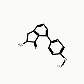 COc1ccc(-c2cccc3c2C(=O)C(C)C3)cc1